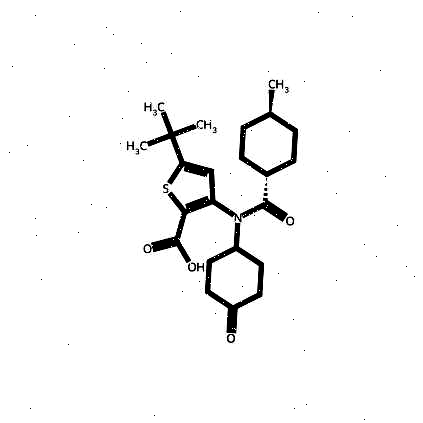 CC(C)(C)c1cc(N(C(=O)[C@H]2CC[C@H](C)CC2)C2CCC(=O)CC2)c(C(=O)O)s1